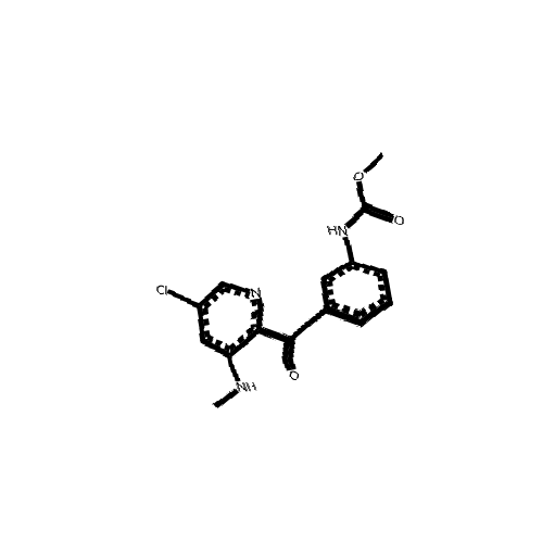 CNc1cc(Cl)cnc1C(=O)c1cccc(NC(=O)OC)c1